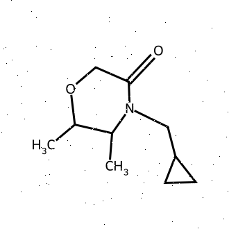 CC1OCC(=O)N(CC2CC2)C1C